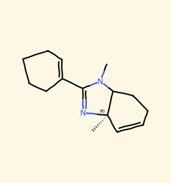 CN1C(C2=CCCCC2)=N[C@]2(C)C=CCCC12